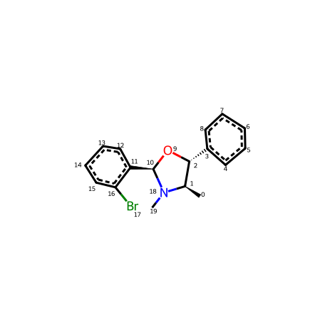 C[C@@H]1[C@@H](c2ccccc2)O[C@H](c2ccccc2Br)N1C